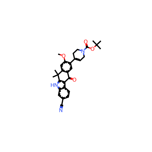 COc1cc2c(cc1C1=CCN(C(=O)OC(C)(C)C)CC1)C(=O)c1c([nH]c3cc(C#N)ccc13)C2(C)C